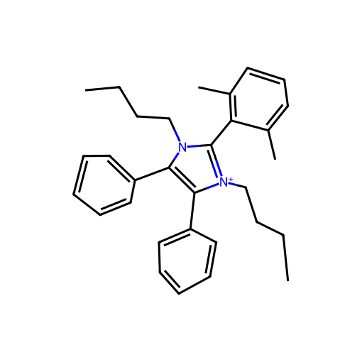 CCCCn1c(-c2ccccc2)c(-c2ccccc2)[n+](CCCC)c1-c1c(C)cccc1C